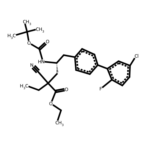 CCOC(=O)C(C#N)(CC)C[C@@H](Cc1ccc(-c2cc(Cl)ccc2F)cc1)NC(=O)OC(C)(C)C